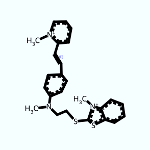 CN(CCSc1sc2ccccc2[n+]1C)c1ccc(/C=C/c2cccc[n+]2C)cc1